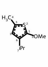 COc1sc(C)cc1C(C)C